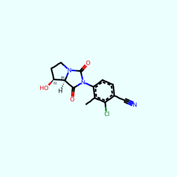 Cc1c(N2C(=O)[C@H]3[C@@H](O)CCN3C2=O)ccc(C#N)c1Cl